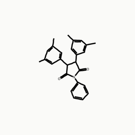 Cc1cc(C)cc(C2C(=O)N(c3ccccc3)C(=O)C2c2cc(C)cc(C)c2)c1